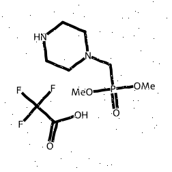 COP(=O)(CN1CCNCC1)OC.O=C(O)C(F)(F)F